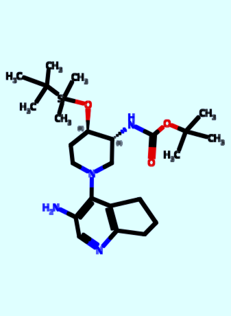 CC(C)(C)OC(=O)N[C@@H]1CN(c2c(N)cnc3c2CCC3)CC[C@H]1O[Si](C)(C)C(C)(C)C